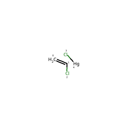 C=CCl.[Cl][Hg]